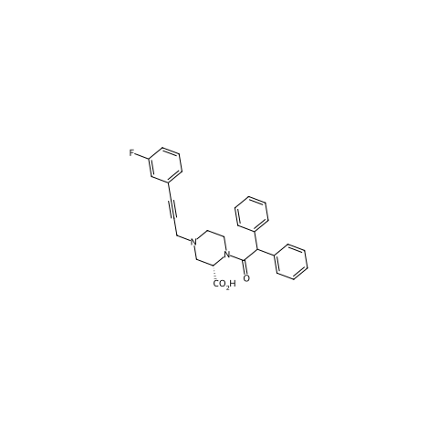 O=C(O)[C@@H]1CN(CC#Cc2cccc(F)c2)CCN1C(=O)C(c1ccccc1)c1ccccc1